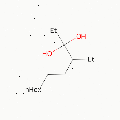 CCCCCCCCC(CC)C(O)(O)CC